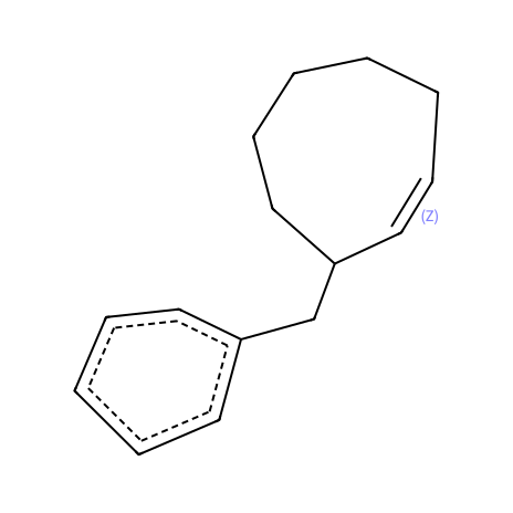 C1=C\C(Cc2ccccc2)CCCCC/1